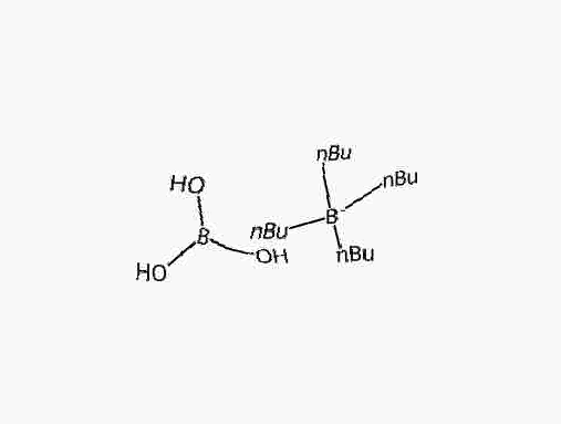 CCCC[B-](CCCC)(CCCC)CCCC.OB(O)O